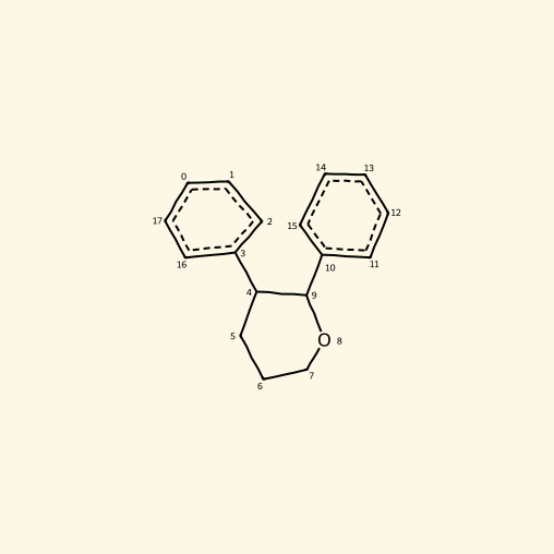 c1ccc(C2CCCOC2c2ccccc2)cc1